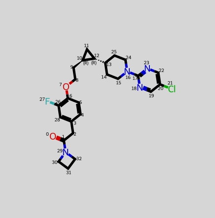 O=C(Cc1ccc(OCC[C@H]2C[C@@H]2C2CCN(c3ncc(Cl)cn3)CC2)c(F)c1)N1CCC1